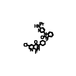 CC(C)Nc1ccc(-n2c(=O)n(C[C@H]3CC[C@H](NC(=O)c4cc(Cl)cnc4C(F)F)CC3)c3ccccc32)cn1